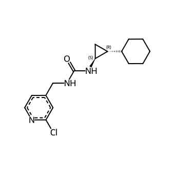 O=C(NCc1ccnc(Cl)c1)N[C@H]1C[C@@H]1C1CCCCC1